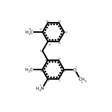 COc1cc(N)c(C)c(Cc2ccccc2C)c1